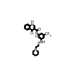 O=C(Nc1cc(NSCCN2CCCCC2)cc(C(F)(F)F)c1)c1c[nH]c2ccccc2c1=O